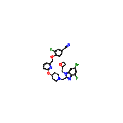 N#Cc1ccc(OCc2cccc(OC3CCN(Cc4nc5c(F)cc(Br)cc5n4CC4CCO4)CC3)n2)c(F)c1